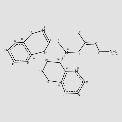 C/C(=C/CN)CN(CC1=NCc2ccccc2C1)[C@H]1CCCc2cccnc21